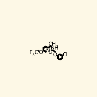 C[C@@H](NC(=O)COc1cccc(Cl)c1)c1ccc(OCC(F)(F)F)cn1